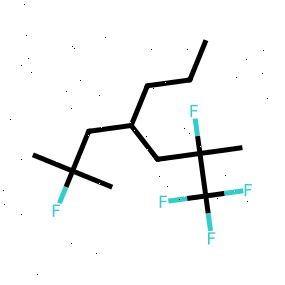 CCCC(CC(C)(C)F)CC(C)(F)C(F)(F)F